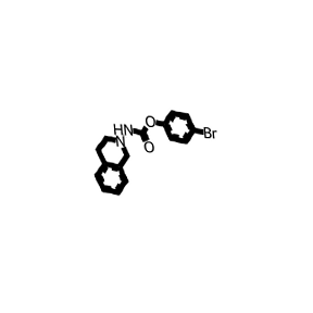 O=C(NN1CCc2ccccc2C1)Oc1ccc(Br)cc1